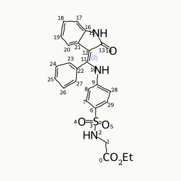 CCOC(=O)CNS(=O)(=O)c1ccc(N/C(=C2\C(=O)Nc3ccccc32)c2ccccc2)cc1